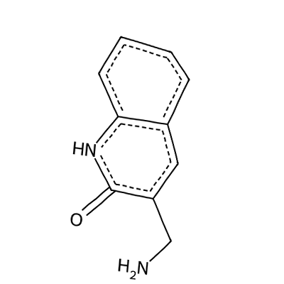 NCc1cc2ccccc2[nH]c1=O